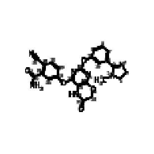 CN1CCN=C1c1cccc(Oc2nc3c(c(Oc4ccc(C#N)c(C(N)=O)c4)n2)NC(=O)CO3)c1